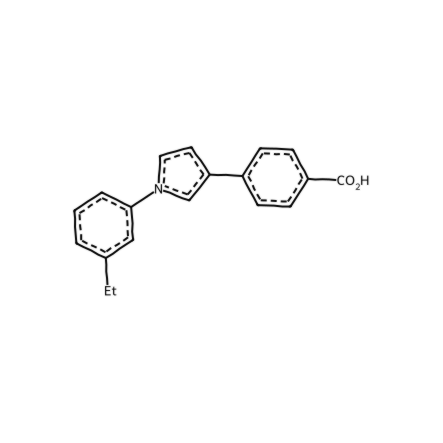 CCc1cccc(-n2ccc(-c3ccc(C(=O)O)cc3)c2)c1